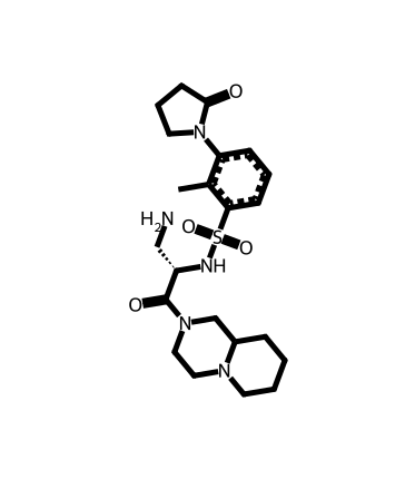 Cc1c(N2CCCC2=O)cccc1S(=O)(=O)N[C@@H](CN)C(=O)N1CCN2CCCCC2C1